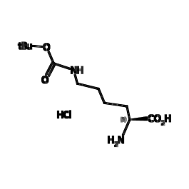 CC(C)(C)OC(=O)NCCCC[C@H](N)C(=O)O.Cl